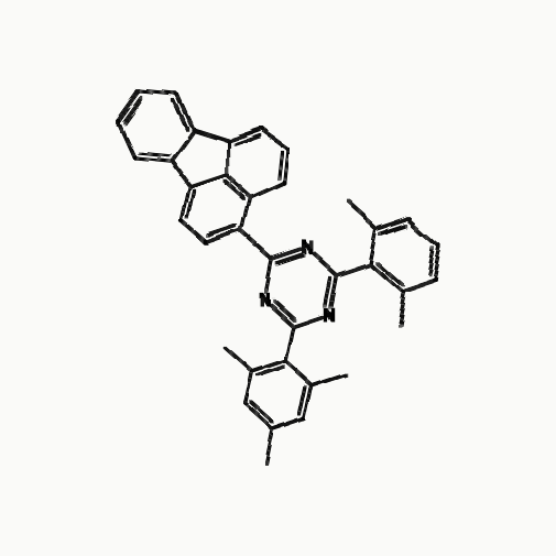 Cc1cc(C)c(-c2nc(-c3c(C)cccc3C)nc(-c3ccc4c5c(cccc35)-c3ccccc3-4)n2)c(C)c1